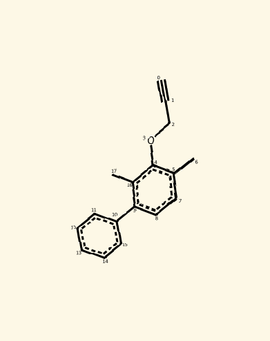 C#CCOc1c(C)ccc(-c2ccccc2)c1C